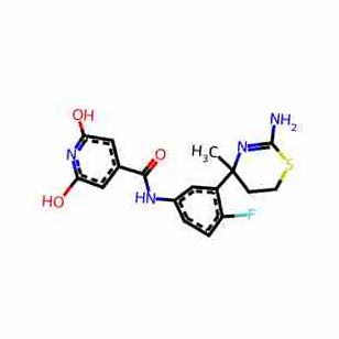 CC1(c2cc(NC(=O)c3cc(O)nc(O)c3)ccc2F)CCSC(N)=N1